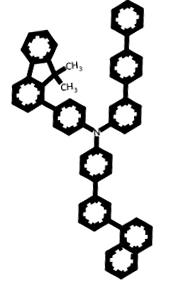 CC1(C)c2ccccc2-c2cccc(-c3ccc(N(c4ccc(-c5cccc(-c6cccc7ccccc67)c5)cc4)c4cccc(-c5ccc(-c6ccccc6)cc5)c4)cc3)c21